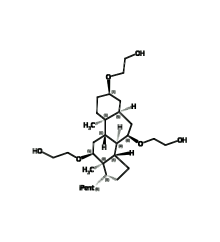 CCC[C@@H](C)[C@H]1CC[C@H]2[C@@H]3[C@H](OCCO)C[C@@H]4C[C@H](OCCO)CC[C@]4(C)[C@H]3C[C@H](OCCO)[C@]12C